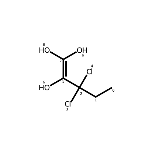 CCC(Cl)(Cl)C(O)=C(O)O